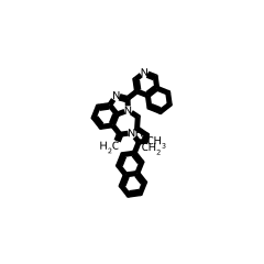 C=CCCn1c(-c2cncc3c2C=CCC3)nc2cccc(C(=C)NC(C)c3ccc4ccccc4c3)c21